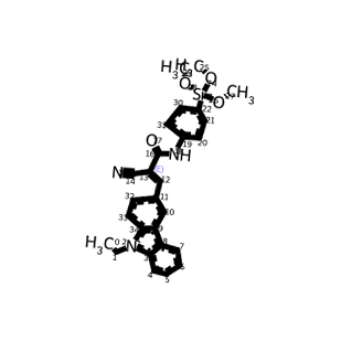 CCn1c2ccccc2c2cc(/C=C(\C#N)C(=O)Nc3ccc([Si](OC)(OC)OC)cc3)ccc21